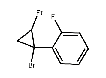 CCC1CC1(Br)c1ccccc1F